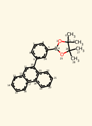 CC1(C)OB(c2cccc(-c3cc4ccccc4c4ccccc34)c2)OC1(C)C